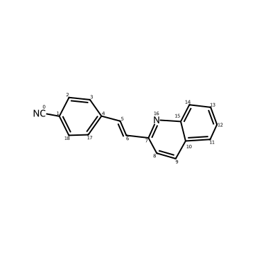 N#Cc1ccc(C=Cc2ccc3ccccc3n2)cc1